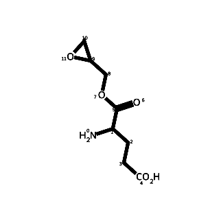 NC(CCC(=O)O)C(=O)OCC1CO1